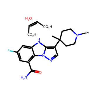 CC(C)N1CCC(C)(c2cnn3c2[nH]c2cc(F)cc(C(N)=O)c23)CC1.O.O=C(O)/C=C\C(=O)O